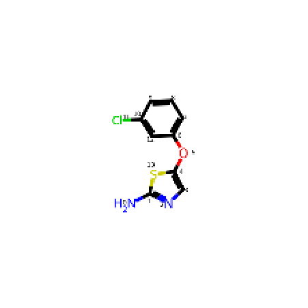 Nc1ncc(Oc2cccc(Cl)c2)s1